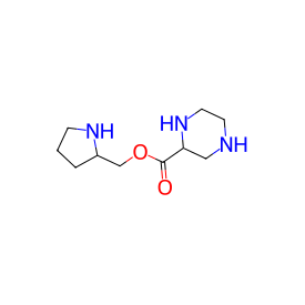 O=C(OCC1CCCN1)C1CNCCN1